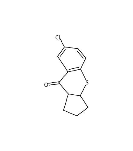 O=C1c2cc(Cl)ccc2SC2CCCC12